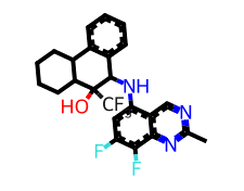 Cc1ncc2c(NC3c4ccccc4C4CCCCC4C3(O)C(F)(F)F)cc(F)c(F)c2n1